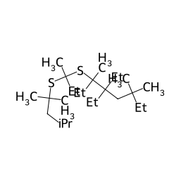 CCC(C)(C)CC(CC)(CC)C(C)(CC)SC(C)(CC)SC(C)(C)CC(C)C